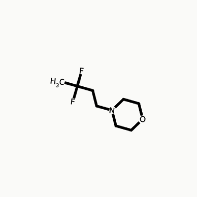 CC(F)(F)CCN1CCOCC1